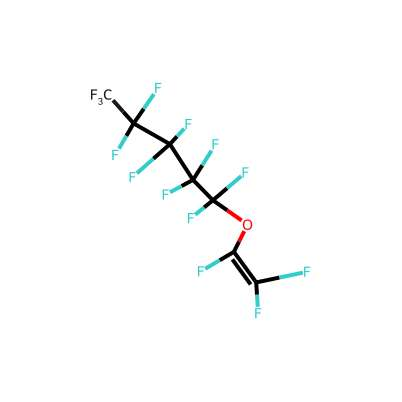 FC(F)=C(F)OC(F)(F)C(F)(F)C(F)(F)C(F)(F)C(F)(F)F